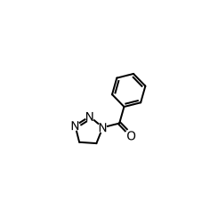 O=C(c1ccccc1)N1CCN=N1